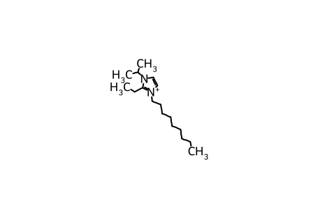 CCCCCCCCC[n+]1ccn(C(C)C)c1CC